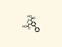 O=C(O)C(F)c1ccc(-c2cc[c]cc2)cc1C(F)C(=O)O